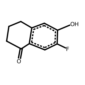 O=C1CCCc2cc(O)c(F)cc21